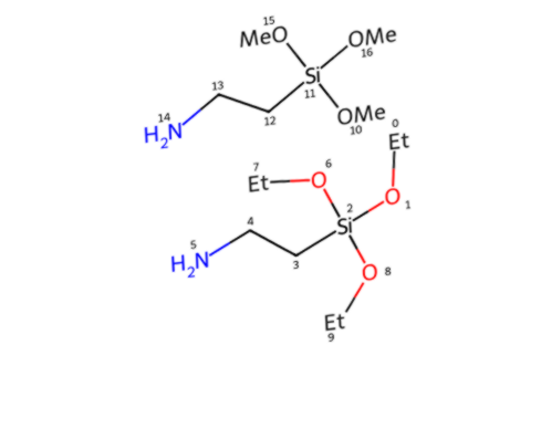 CCO[Si](CCN)(OCC)OCC.CO[Si](CCN)(OC)OC